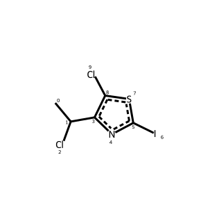 CC(Cl)c1nc(I)sc1Cl